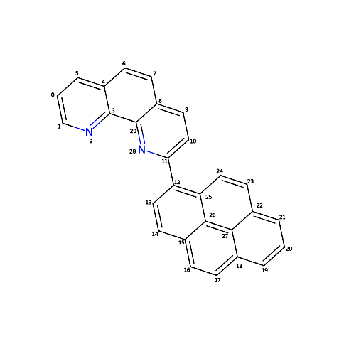 c1cnc2c(c1)ccc1ccc(-c3ccc4ccc5cccc6ccc3c4c56)nc12